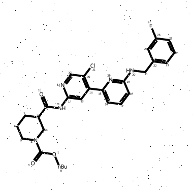 CCCCOC(=O)N1CCCC(C(=O)Nc2cc(-c3cccc(NCc4cccc(F)c4)n3)c(Cl)cn2)C1